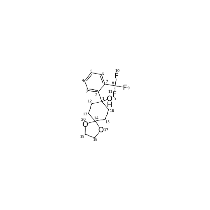 OC1(c2ccccc2C(F)(F)F)CCC2(CC1)OCCO2